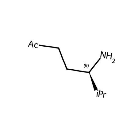 CC(=O)CC[C@@H](N)C(C)C